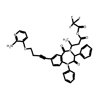 CC(CC(=O)OC(=O)C(F)(F)F)N1C(=O)c2cc(C#CCCOc3cccnc3N)ccc2N(c2ccccc2)C(=O)C1c1ccccc1